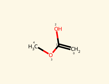 C=C(O)OC